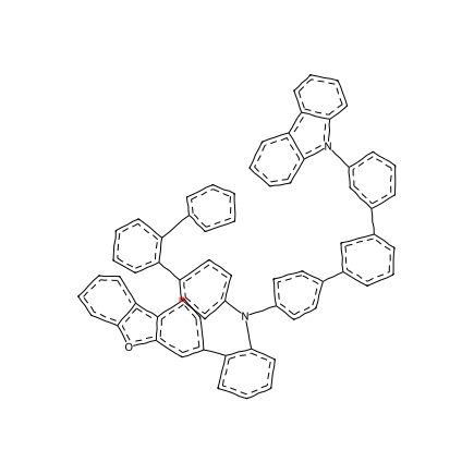 c1ccc(-c2ccccc2-c2ccc(N(c3ccc(-c4cccc(-c5cccc(-n6c7ccccc7c7ccccc76)c5)c4)cc3)c3ccccc3-c3ccc4c(c3)oc3ccccc34)cc2)cc1